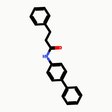 O=C(CCc1ccccc1)Nc1ccc(-c2ccccc2)cc1